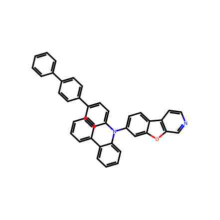 c1ccc(-c2ccc(-c3ccc(N(c4ccc5c(c4)oc4cnccc45)c4ccccc4-c4ccccc4)cc3)cc2)cc1